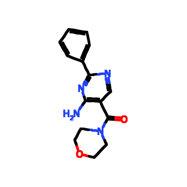 Nc1nc(-c2ccccc2)ncc1C(=O)N1CCOCC1